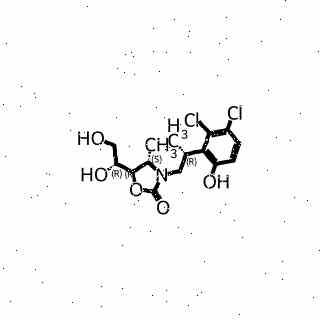 C[C@@H](CN1C(=O)O[C@@H]([C@H](O)CO)[C@@H]1C)c1c(O)ccc(Cl)c1Cl